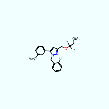 CCC(CC)(COC)OCc1cc(-c2cccc(OC)c2)n(Cc2ccccc2Cl)n1